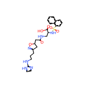 O=C(CC1CC(CCCNc2ncc[nH]2)=NO1)NCC(NS(=O)(=O)c1cccc2ccccc12)C(=O)O